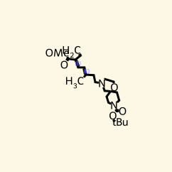 C=C/C(=C\C=C(/C)CCN1CCOC2(CCN(C(=O)OC(C)(C)C)CC2)C1)C(=O)OC